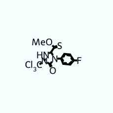 COC(=S)C1NN(C(Cl)(Cl)Cl)C(=O)N1c1ccc(F)cc1